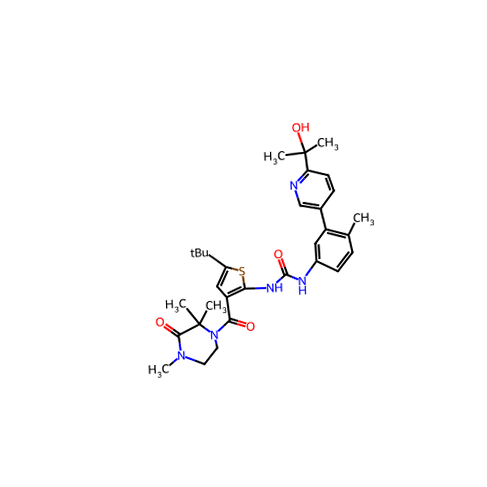 Cc1ccc(NC(=O)Nc2sc(C(C)(C)C)cc2C(=O)N2CCN(C)C(=O)C2(C)C)cc1-c1ccc(C(C)(C)O)nc1